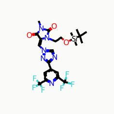 CN1C(=O)/C(=C/n2cnc(-c3cc(C(F)(F)F)nc(C(F)(F)F)c3)n2)N(CCO[Si](C)(C)C(C)(C)C)C1=O